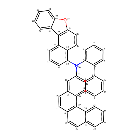 c1ccc(-c2ccccc2N(c2ccc3c(ccc4ccc5ccccc5c43)c2)c2cccc3c2ccc2oc4ccccc4c23)cc1